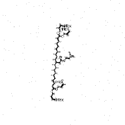 CCCCCC/C=C\COC(CCCCCCCCCC(CCCCCCCCCC(OC/C=C\CCCCCC)OC/C=C\CCCCCC)CC(=O)OCCN(C)C)OC/C=C\CCCCCC